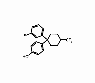 Oc1ccc(C2(c3cccc(F)c3)CCC(C(F)(F)F)CC2)cc1